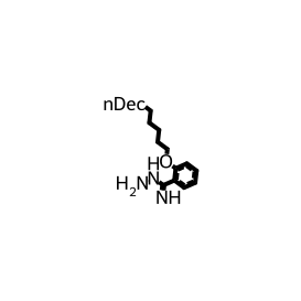 CCCCCCCCCCCCCCCOc1ccccc1C(=N)NN